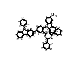 FC(F)(F)c1ccc2c(c1)c1ccccc1n2-c1ccc(-c2ccc3c4ccccc4n(-c4ccccc4)c3c2)cc1-c1nc(-c2ccccc2)nc(-c2ccccc2)n1